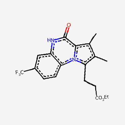 CCOC(=O)CCc1c(C)c(C)c2c(=O)[nH]c3cc(C(F)(F)F)ccc3n12